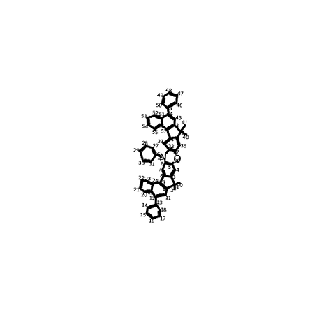 CC1(C)c2cc3c(cc2-c2c1cc(-c1ccccc1)c1ccccc21)N(c1ccccc1)c1cc2c(cc1O3)C(C)(C)c1cc(-c3ccccc3)c3ccccc3c1-2